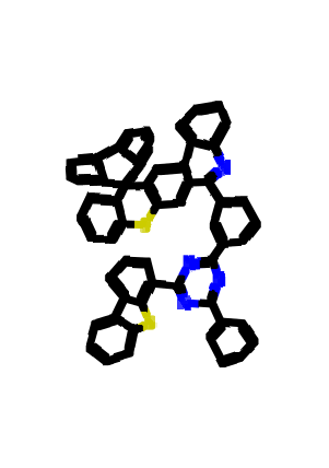 c1ccc(-c2nc(-c3cccc(-c4nc5ccccc5c5cc6c(cc45)Sc4ccccc4C64c5ccccc5-c5ccccc54)c3)nc(-c3cccc4c3sc3ccccc34)n2)cc1